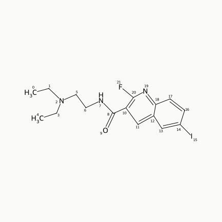 CCN(CC)CCNC(=O)c1cc2cc(I)ccc2nc1F